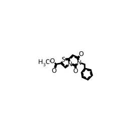 COC(=O)c1cn2c(=O)n(Cc3ccccc3)c(=O)cc2s1